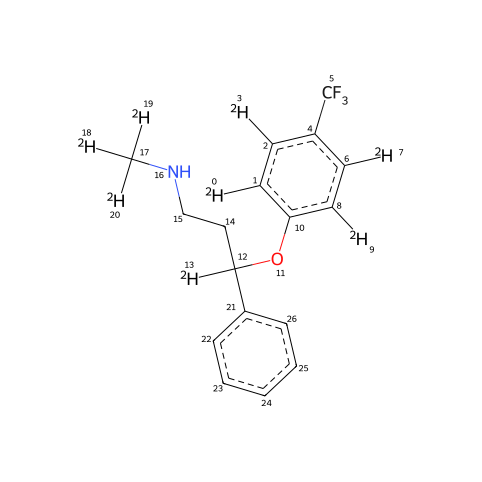 [2H]c1c([2H])c(C(F)(F)F)c([2H])c([2H])c1OC([2H])(CCNC([2H])([2H])[2H])c1ccccc1